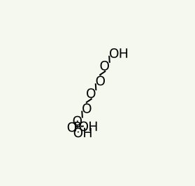 O=P(O)(O)OCCOCCOCCOCCOCCO